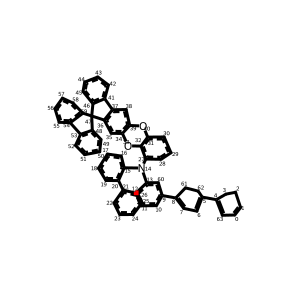 C1=CCCC(C2=CC=C(c3cccc(N(c4ccccc4-c4ccccc4)c4cccc5c4Oc4cc6c(cc4O5)-c4ccccc4C64c5ccccc5-c5ccccc54)c3)CC2)=C1